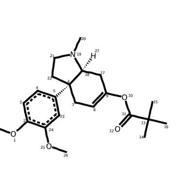 COc1ccc([C@@]23CC=C(OC(=O)C(C)(C)C)C[C@@H]2N(C)CC3)cc1OC